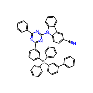 N#Cc1ccc2c(c1)c1ccccc1n2-c1nc(-c2ccccc2)nc(-c2cccc([Si](c3ccccc3)(c3ccccc3)c3cccc(-c4ccccc4)c3)c2)n1